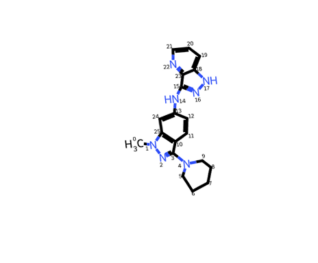 Cn1nc(N2CCCCC2)c2ccc(Nc3n[nH]c4cccnc34)cc21